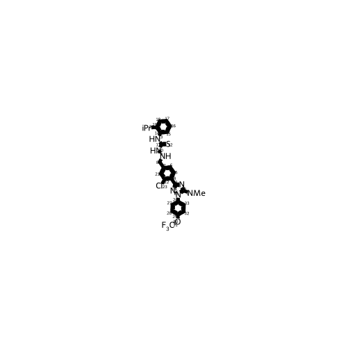 CNc1nc(-c2ccc(CNNC(=S)Nc3ccccc3C(C)C)cc2Cl)nn1-c1ccc(OC(F)(F)F)cc1